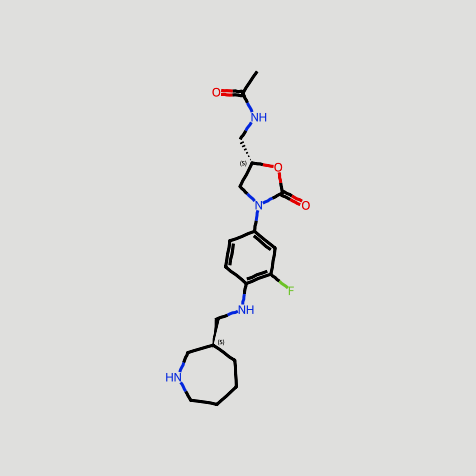 CC(=O)NC[C@H]1CN(c2ccc(NC[C@H]3CCCCNC3)c(F)c2)C(=O)O1